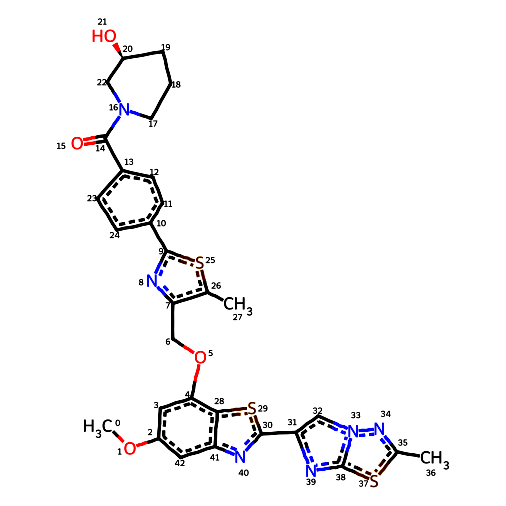 COc1cc(OCc2nc(-c3ccc(C(=O)N4CCC[C@H](O)C4)cc3)sc2C)c2sc(-c3cn4nc(C)sc4n3)nc2c1